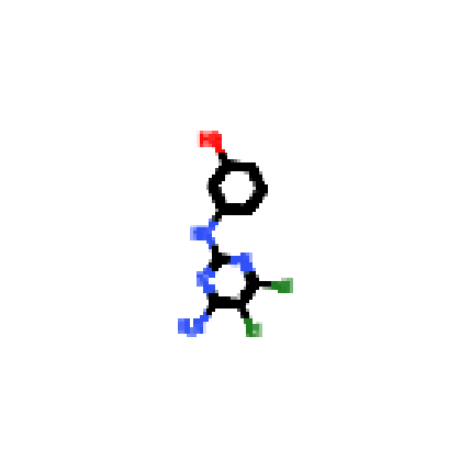 Nc1nc(Nc2cccc(O)c2)nc(Cl)c1Cl